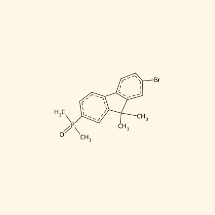 CC1(C)c2cc(Br)ccc2-c2ccc(P(C)(C)=O)cc21